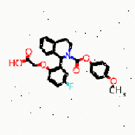 COc1ccc(OC(=O)N2CCc3ccccc3C2c2cc(F)ccc2OCC(=O)O)cc1